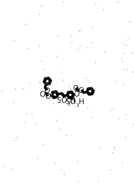 O=C(OCc1ccccc1)Oc1ccc(C=Cc2ccc(OC(=O)OCc3ccccc3)cc2S(=O)(=O)O)c(S(=O)(=O)O)c1